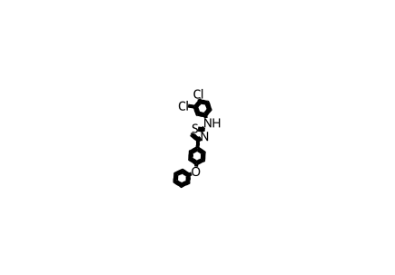 Clc1ccc(Nc2nc(-c3ccc(Oc4ccccc4)cc3)cs2)cc1Cl